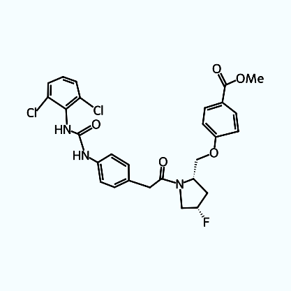 COC(=O)c1ccc(OC[C@@H]2C[C@H](F)CN2C(=O)Cc2ccc(NC(=O)Nc3c(Cl)cccc3Cl)cc2)cc1